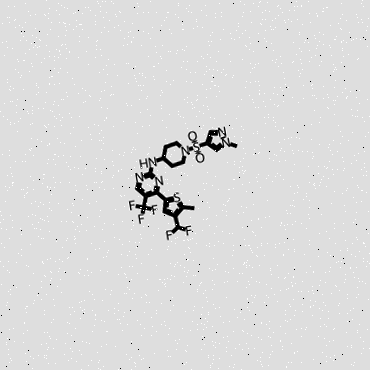 Cc1sc(-c2nc(NC3CCN(S(=O)(=O)c4cnn(C)c4)CC3)ncc2C(F)(F)F)cc1C(F)F